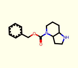 O=C(OCc1ccccc1)N1CCCC2NCCC21